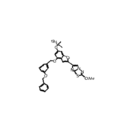 COc1nn2cc(-c3cc4c(OCc5cccc(OCc6ccccc6)c5)cc(O[Si](C)(C)C(C)(C)C)cc4o3)nc2s1